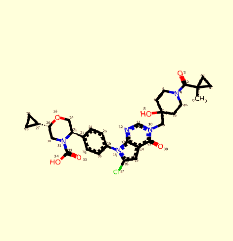 CC1(C(=O)N2CCC(O)(Cn3cnc4c(cc(Cl)n4-c4ccc([C@@H]5CO[C@@H](C6CC6)CN5C(=O)O)cc4)c3=O)CC2)CC1